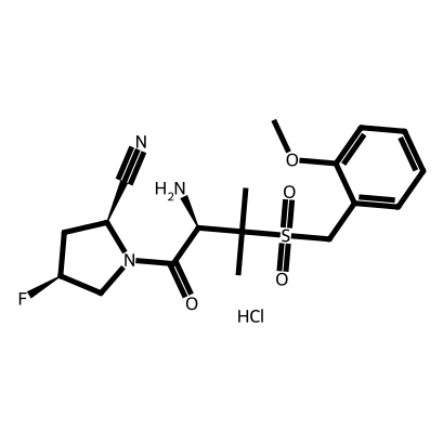 COc1ccccc1CS(=O)(=O)C(C)(C)[C@H](N)C(=O)N1C[C@@H](F)C[C@H]1C#N.Cl